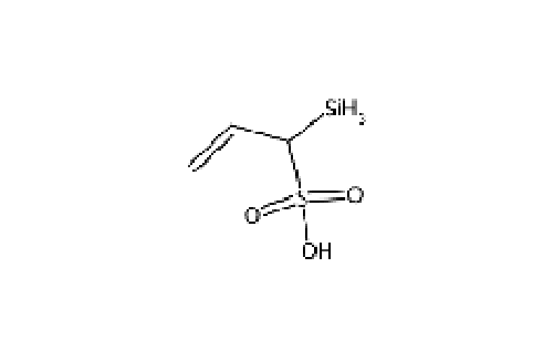 C=CC([SiH3])S(=O)(=O)O